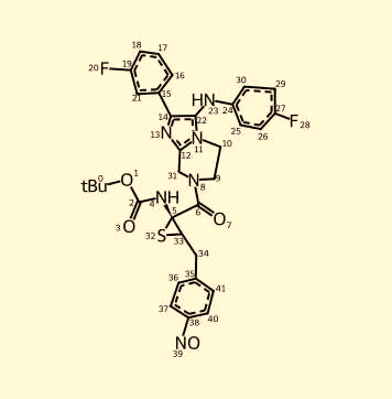 CC(C)(C)OC(=O)N[C@]1(C(=O)N2CCn3c(nc(-c4cccc(F)c4)c3Nc3ccc(F)cc3)C2)SC1Cc1ccc(N=O)cc1